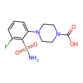 NS(=O)(=O)c1c(F)cccc1N1CCN(C(=O)O)CC1